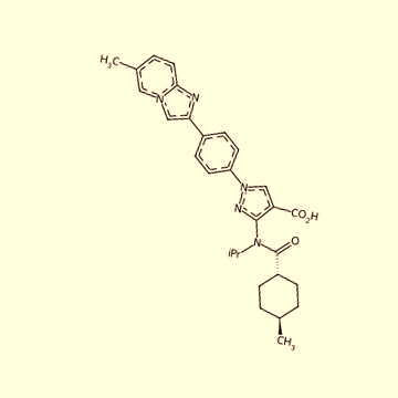 Cc1ccc2nc(-c3ccc(-n4cc(C(=O)O)c(N(C(=O)[C@H]5CC[C@H](C)CC5)C(C)C)n4)cc3)cn2c1